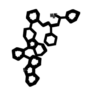 NC(/C=C(\C=C\c1ccccc1C1C=Cc2c(c3c(n2-c2ccccc2-c2cccc4c2sc2ccccc24)CCC=C3)C1)C1=CCCCC1)c1ccccc1